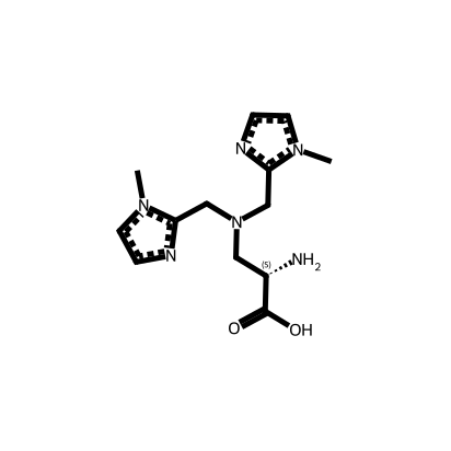 Cn1ccnc1CN(Cc1nccn1C)C[C@H](N)C(=O)O